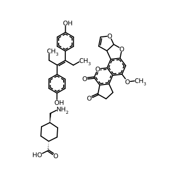 CC/C(=C(/CC)c1ccc(O)cc1)c1ccc(O)cc1.COc1cc2c(c3oc(=O)c4c(c13)CCC4=O)C1C=COC1O2.NC[C@H]1CC[C@H](C(=O)O)CC1